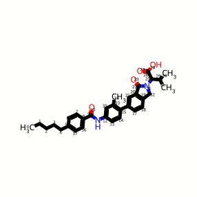 CCCCCc1ccc(C(=O)Nc2ccc(-c3ccc4c(c3)C(=O)N(C(C(=O)O)C(C)C)C4)c(C)c2)cc1